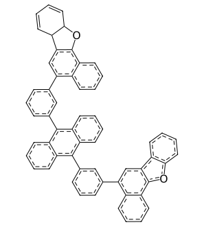 C1=CC2Oc3c(cc(-c4cccc(-c5c6ccccc6c(-c6cccc(-c7cc8c9ccccc9oc8c8ccccc78)c6)c6ccccc56)c4)c4ccccc34)C2C=C1